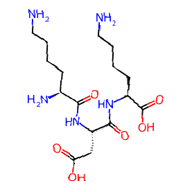 NCCCC[C@H](NC(=O)[C@H](CC(=O)O)NC(=O)[C@@H](N)CCCCN)C(=O)O